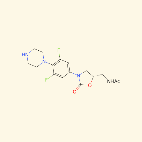 CC(=O)NC[C@H]1CN(c2cc(F)c(N3CCNCC3)c(F)c2)C(=O)O1